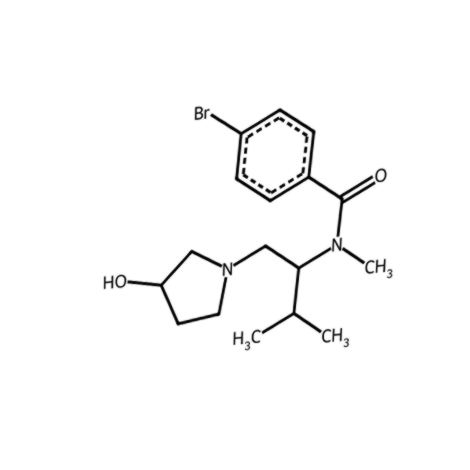 CC(C)C(CN1CCC(O)C1)N(C)C(=O)c1ccc(Br)cc1